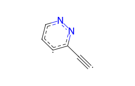 [C]#Cc1[c]ccnn1